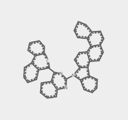 c1ccc2c(c1)cc(-c1nc(-n3c4ccccc4c4c5ccc6ccc7ccccc7c6c5ccc43)nc3ccccc13)c1ccccc12